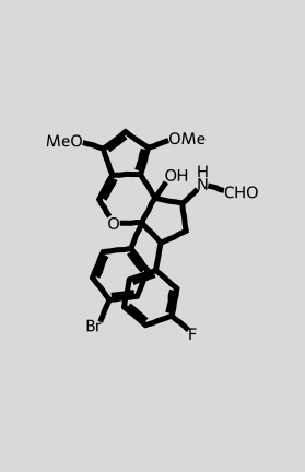 COC1=CC(OC)=C2C1=COC1(c3ccc(Br)cc3)C(c3cccc(F)c3)CC(NC=O)C21O